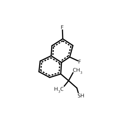 CC(C)(CS)c1cccc2cc(F)cc(F)c12